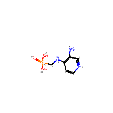 Nc1cnccc1NCP(=O)(O)O